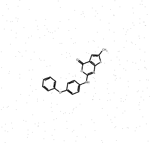 Cc1cc2c(=O)oc(Nc3ccc(Oc4ccccc4)cc3)nc2s1